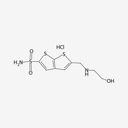 Cl.NS(=O)(=O)c1cc2cc(CNCCO)sc2s1